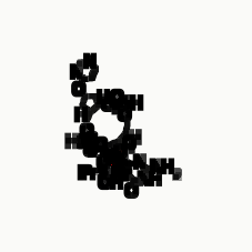 CC(C)[Si](O)(O[Si](O[C@H]1[C@H]2O[P@@](=O)(S)OC[C@H]3C[C@@H](Oc4ccncn4)C[C@@H]3O[P@@](=O)(S)OC[C@H]1O[C@H]2n1cnc2c(=O)[nH]c(N)nc21)(C(C)C)C(C)C)C(C)C